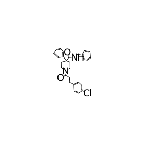 O=C(CCc1ccc(Cl)cc1)N1CCC(C(=O)NCc2ccccc2)(c2ccccc2)CC1